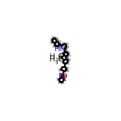 CC1(C)c2cc(-c3ccc(-c4nc5ccccc5o4)cc3)ccc2-c2ccc(C3C=CC=C(c4ccc5ccccc5c4)N3)cc21